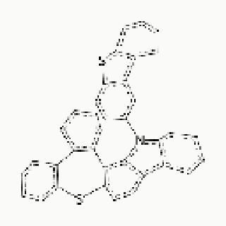 c1ccc2c(c1)Sc1ccc3c4ccccc4n(-c4ccc5sc6ccccc6c5c4)c3c1-c1ccccc1-2